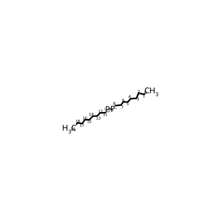 CCCCCCCCC[P][P]CCCCCCCCC